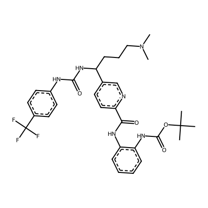 CN(C)CCCC(NC(=O)Nc1ccc(C(F)(F)F)cc1)c1ccc(C(=O)Nc2ccccc2NC(=O)OC(C)(C)C)nc1